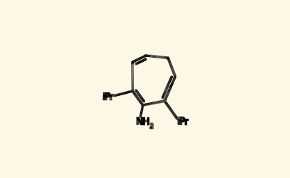 CC(C)C1=CCC=CC(C(C)C)=C1N